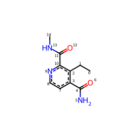 CCc1c(C(N)=O)ccnc1C(=O)NC